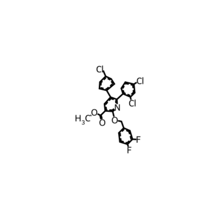 COC(=O)c1cc(-c2ccc(Cl)cc2)c(-c2ccc(Cl)cc2Cl)nc1OCc1ccc(F)c(F)c1